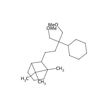 COCC(CCC1C2CCCC1(C)C2(C)C)(COC)C1CCCCC1